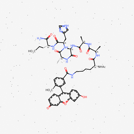 CC(=O)N[C@H](CCCCNC(=O)c1ccc(C(=O)O)c(-c2c3ccc(=O)cc-3oc3cc(O)ccc23)c1)C(=O)N[C@H](C)C(=O)N[C@H](C)C(=O)N[C@H](C)C(=O)N[C@H](C)C(=O)N[C@H](Cc1c[nH]cn1)C(=O)N[C@H](CCC(=O)O)C(N)=O